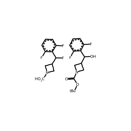 CC(C)(C)OC(=O)N1CC(C(O)c2c(F)cccc2F)C1.O=C(O)N1CC(C(F)c2c(F)cccc2F)C1